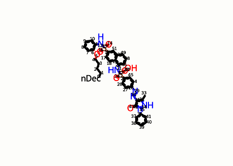 CCCCCCCCCCCCCCOc1ccccc1NS(=O)(=O)c1ccc2c(NS(=O)(=O)c3ccc(N=Nc4c(C)[nH]n(-c5ccccc5)c4=O)cc3)c(O)ccc2c1